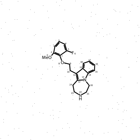 COc1cccc(F)c1OCCc1c2n(c3ccccc13)CCNCC2